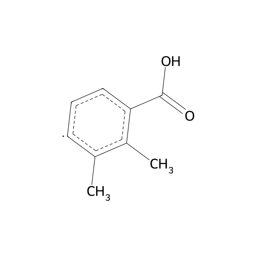 Cc1[c]ccc(C(=O)O)c1C